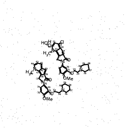 COc1ccc(N2Cc3c(cc4c(Cl)ccn(C)c3-4)C2=O)cc1OCCN1CCCCC1.COc1ccc(N2Cc3c(cc4cccn(C)c3-4)C2=O)cc1OCCN1CCCCC1.Cl.Cl